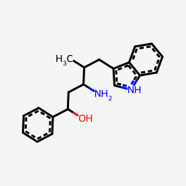 CC(Cc1c[nH]c2ccccc12)C(N)CC(O)c1ccccc1